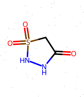 O=C1CS(=O)(=O)NN1